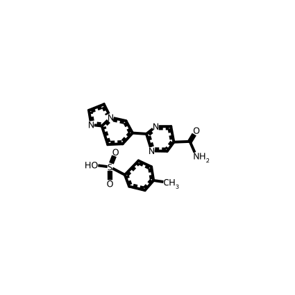 Cc1ccc(S(=O)(=O)O)cc1.NC(=O)c1cnc(-c2ccc3nccn3c2)nc1